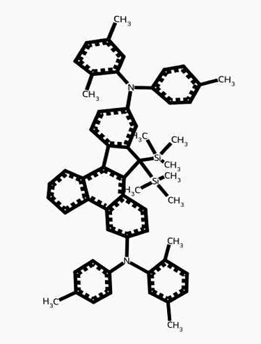 Cc1ccc(N(c2ccc3c(c2)C([Si](C)(C)C)([Si](C)(C)C)c2c-3c3ccccc3c3cc(N(c4ccc(C)cc4)c4cc(C)ccc4C)ccc23)c2cc(C)ccc2C)cc1